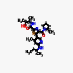 CC[C@@H](C)Nc1cc(C)c(-c2sc(C(=O)N[C@H](C)[C@H](C)O)nc2C(=O)N2CCC[C@@H]2C)cn1